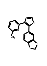 Cc1cccc(-c2nc[nH]c2-c2ccc3c(c2)OCO3)n1